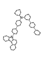 c1ccc(-c2ccc(-c3cccc(N(c4ccccc4)c4ccc(-c5ccc(-n6c7ccccc7c7c8ccccc8ccc76)cc5)cc4)c3)cc2)cc1